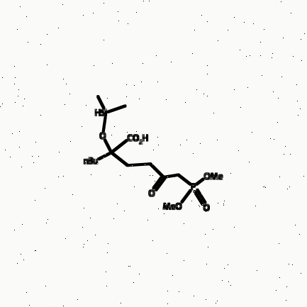 CCCCC(CCC(=O)CP(=O)(OC)OC)(O[SiH](C)C)C(=O)O